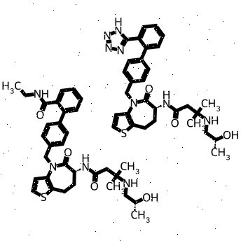 CCNC(=O)c1ccccc1-c1ccc(CN2C(=O)[C@H](NC(=O)CC(C)(C)NC[C@@H](C)O)CCc3sccc32)cc1.C[C@@H](O)CNC(C)(C)CC(=O)N[C@@H]1CCc2sccc2N(Cc2ccc(-c3ccccc3-c3nnn[nH]3)cc2)C1=O